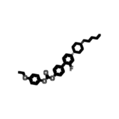 CCCCC[C@H]1CC[C@H](c2ccc(-c3ccc(OC(=O)Oc4ccc(OCC)cc4)cc3)c(F)c2)CC1